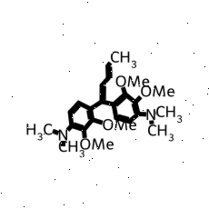 C/C=C/C=C(c1ccc(N(C)C)c(OC)c1OC)c1ccc(N(C)C)c(OC)c1OC